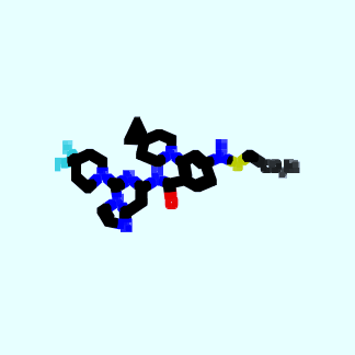 CCOC(=O)CSNc1ccc(C(=O)Nc2cc3nccn3c(N3CCC(F)(F)CC3)n2)c(N2CCC3(CC2)CC3)c1